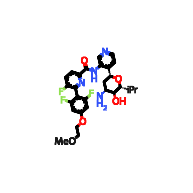 COCCOc1cc(F)c(-c2nc(C(=O)Nc3cnccc3[C@H]3C[C@@H](N)[C@H](O)[C@@H](C(C)C)O3)ccc2F)c(F)c1